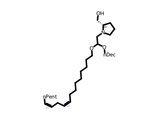 CCCCC/C=C\C/C=C\CCCCCCCCOC(CN1CCC[C@H]1CO)OCCCCCCCCCC